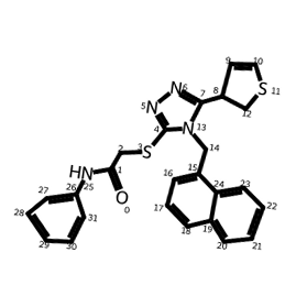 O=C(CSc1nnc(C2C=CSC2)n1Cc1cccc2ccccc12)Nc1ccccc1